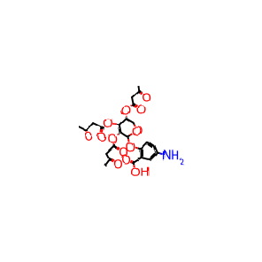 CC(=O)CC(=O)O[C@H]1[C@H](OC(=O)CC(C)=O)COC(Oc2ccc(N)cc2C(=O)O)[C@@H]1OC(=O)CC(C)=O